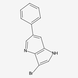 Brc1c[nH]c2cc(-c3ccccc3)cnc12